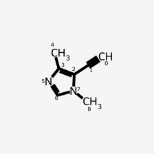 C#Cc1c(C)ncn1C